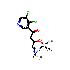 CC(C)(C)[Si](C)(C)OC(CNC(=O)O)CC(=O)c1cncc(Br)c1Cl